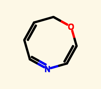 C1=CCOC=CN=C1